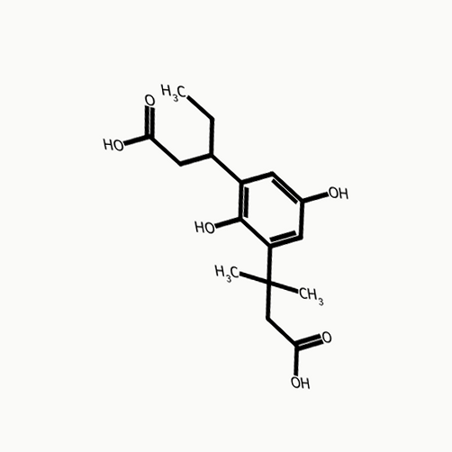 CCC(CC(=O)O)c1cc(O)cc(C(C)(C)CC(=O)O)c1O